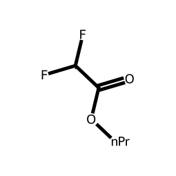 CCCOC(=O)[C](F)F